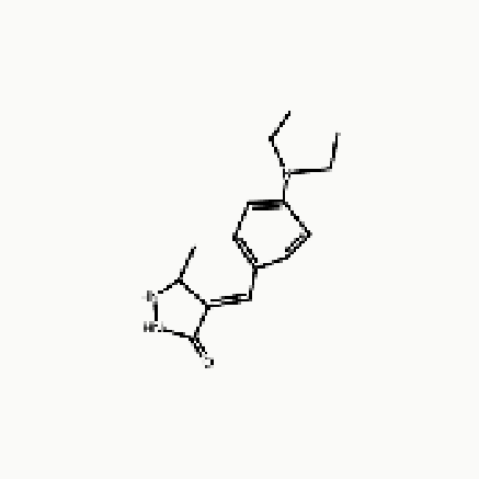 CCN(CC)c1ccc(C=C2C(=O)NNC2C)cc1